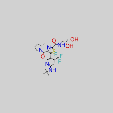 C[C@H]1CCCN1C(=O)c1nc(C(=O)NC[C@@H](O)CO)sc1C1=CN=C(NC(C)(C)C)CC1C(F)(F)F